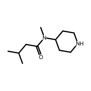 CC(C)CC(=O)N(C)C1CCNCC1